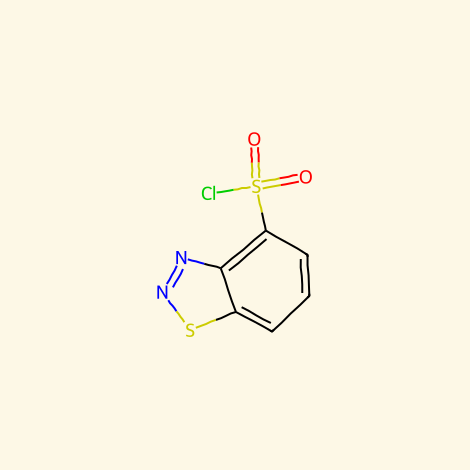 O=S(=O)(Cl)c1cccc2snnc12